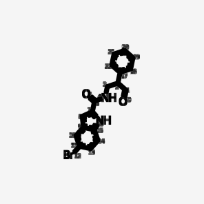 O=CC(CNC(=O)c1cc2cc(Br)ccc2[nH]1)c1ccccc1